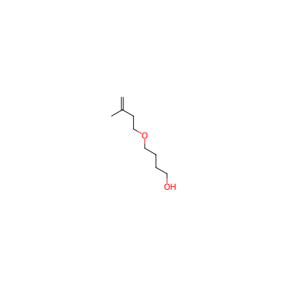 C=C(C)CCOCCCCO